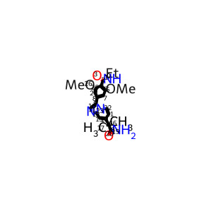 CCNC(=O)c1c(OC)cc(-c2cnc3cc(C(C)(C)C(N)=O)ccn23)cc1OC